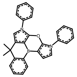 CC1(C)c2ccccc2B2c3ccn(-c4ccccc4)c3Oc3c2c1cn3-c1ccccc1